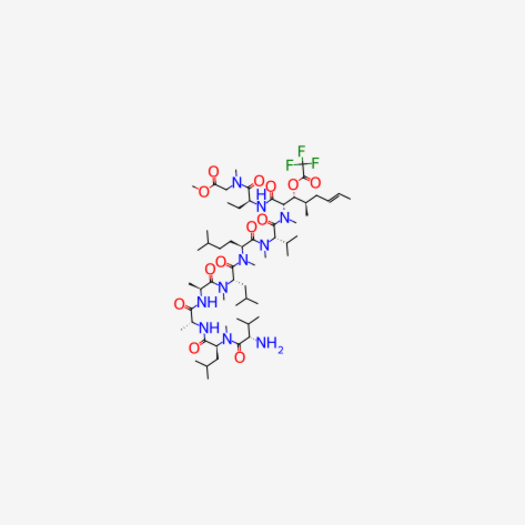 C/C=C/C[C@@H](C)[C@@H](OC(=O)C(F)(F)F)[C@@H](C(=O)N[C@@H](CC)C(=O)N(C)CC(=O)OC)N(C)C(=O)[C@H](C(C)C)N(C)C(=O)[C@H](CCC(C)C)N(C)C(=O)[C@H](CC(C)C)N(C)C(=O)[C@H](C)NC(=O)[C@@H](C)NC(=O)[C@H](CC(C)C)N(C)C(=O)[C@@H](N)C(C)C